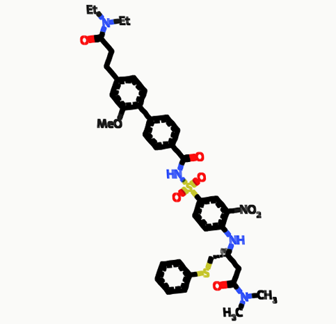 CCN(CC)C(=O)CCc1ccc(-c2ccc(C(=O)NS(=O)(=O)c3ccc(N[C@@H](CSc4ccccc4)CC(=O)N(C)C)c([N+](=O)[O-])c3)cc2)c(OC)c1